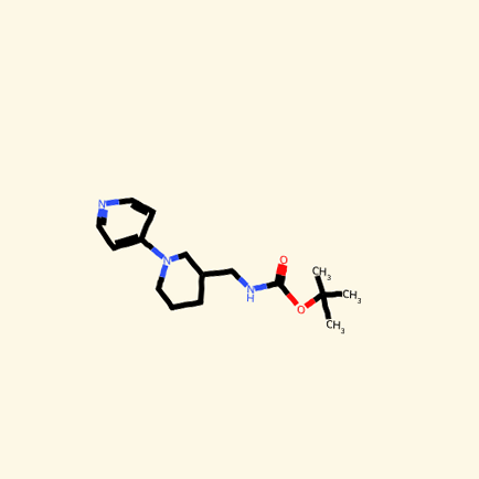 CC(C)(C)OC(=O)NCC1CCCN(c2ccncc2)C1